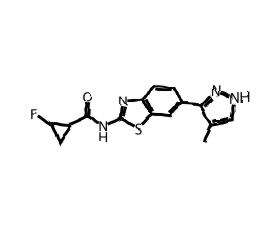 Cc1c[nH]nc1-c1ccc2nc(NC(=O)C3CC3F)sc2c1